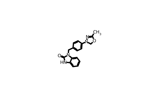 CC1=NN(c2ccc(Cn3c(=O)[nH]c4ccccc43)cc2)CO1